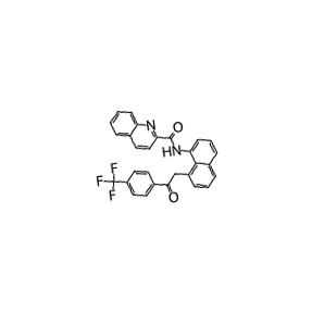 O=C(Cc1cccc2cccc(NC(=O)c3ccc4ccccc4n3)c12)c1ccc(C(F)(F)F)cc1